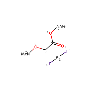 CNOCC(=O)ONC.[I][Pt][I]